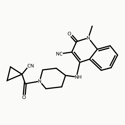 Cn1c(=O)c(C#N)c(NC2CCN(C(=O)C3(C#N)CC3)CC2)c2ccccc21